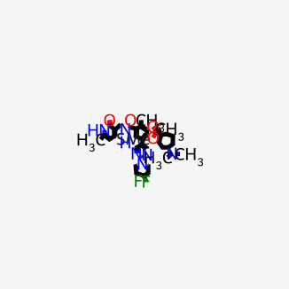 CSc1cc(C)[nH]c(=O)c1CNC(=O)c1cc(-c2cnc(N3CCC(F)(F)CC3)nc2)c2c(c1C)OC(C)(C1CCC[C@@H](N(C)C)CC1)O2